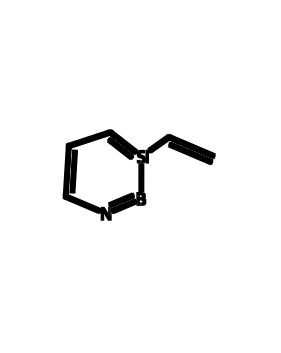 C=C[si]1bnccc1